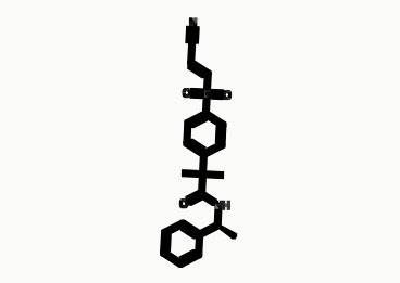 C[C@H](NC(=O)C(C)(C)c1ccc(S(=O)(=O)/C=C/C#N)cc1)c1ccccc1